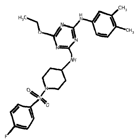 CCOc1nc(Nc2ccc(C)c(C)c2)nc(NC2CCN(S(=O)(=O)c3ccc(F)cc3)CC2)n1